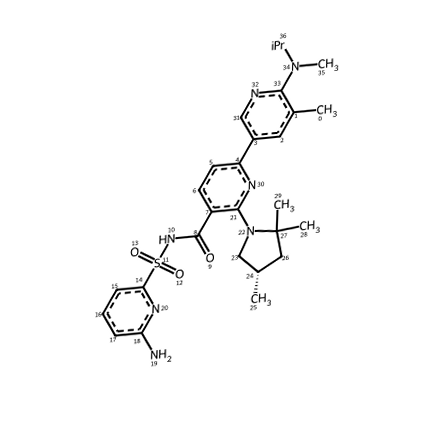 Cc1cc(-c2ccc(C(=O)NS(=O)(=O)c3cccc(N)n3)c(N3C[C@@H](C)CC3(C)C)n2)cnc1N(C)C(C)C